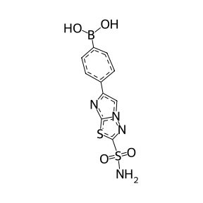 NS(=O)(=O)c1nn2cc(-c3ccc(B(O)O)cc3)nc2s1